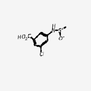 C[S+]([O-])Nc1cc(Cl)cc(C(=O)O)c1